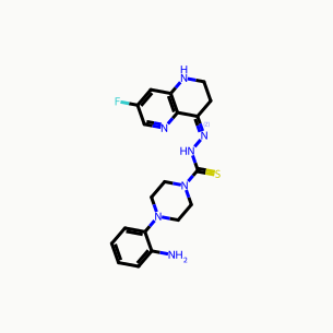 Nc1ccccc1N1CCN(C(=S)N/N=C2/CCNc3cc(F)cnc32)CC1